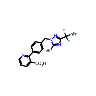 CCCCc1nc(C(F)(F)CCC)nn1Cc1ccc(-c2ncccc2C(=O)O)cc1